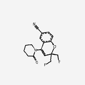 N#Cc1ccc2c(c1)C(N1CCCCC1=O)=CC(CF)(CF)O2